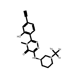 [2H]C([2H])([2H])N1CCC[C@@H](Nc2nnc(-c3ccc(C#C)cc3O)n(C)c2=O)C1